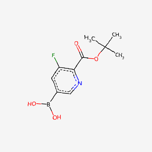 CC(C)(C)OC(=O)c1ncc(B(O)O)cc1F